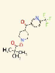 CC(C)(C)C(=O)ON1CCC(C(=O)c2ccc(C(F)(F)F)nc2)CC1